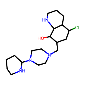 OC1C(CN2CCN(C3CCCCN3)CC2)CC(Cl)C2CCCNC12